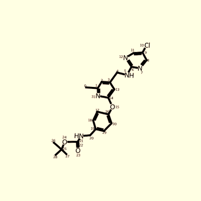 Cc1cc(CNc2ncc(Cl)cn2)cc(Oc2ccc(CNC(=O)OC(C)(C)C)cc2)n1